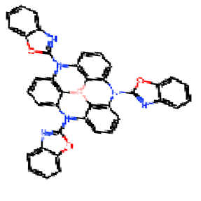 c1cc2c3c(c1)N(c1nc4ccccc4o1)c1cccc4c1B3c1c(cccc1N4c1nc3ccccc3o1)N2c1nc2ccccc2o1